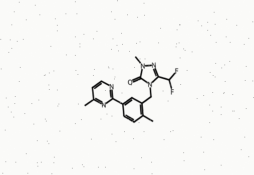 Cc1ccnc(-c2ccc(C)c(Cn3c(C(F)F)nn(C)c3=O)c2)n1